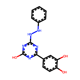 Oc1nc(NNc2ccccc2)nc(-c2ccc(O)c(O)c2)n1